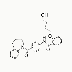 O=C(Nc1ccc(C(=O)N2CCCCc3ccccc32)cc1)c1ccccc1OCCCCO